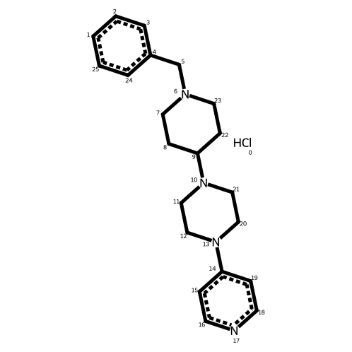 Cl.c1ccc(CN2CCC(N3CCN(c4ccncc4)CC3)CC2)cc1